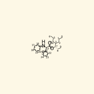 CCCC(CCC)[C@H](CC)OC(=O)C(Nc1ccccc1)c1cccs1